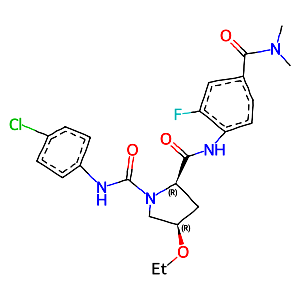 CCO[C@@H]1C[C@H](C(=O)Nc2ccc(C(=O)N(C)C)cc2F)N(C(=O)Nc2ccc(Cl)cc2)C1